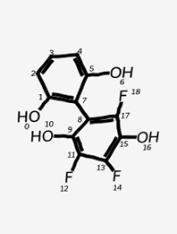 Oc1cccc(O)c1-c1c(O)c(F)c(F)c(O)c1F